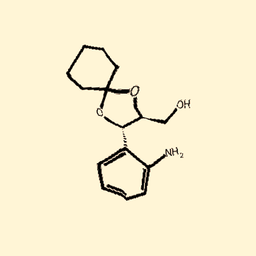 Nc1ccccc1[C@@H]1OC2(CCCCC2)O[C@H]1CO